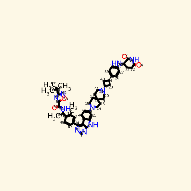 Cc1cc(-c2ncnc3[nH]c4cc(N5CCC6(CC5)CCN([C@H]5C[C@H](c7ccc(NC8CCC(=O)NC8=O)cc7)C5)CC6)ccc4c23)ccc1[C@@H](C)NC(=O)c1nc(C(C)(C)C)no1